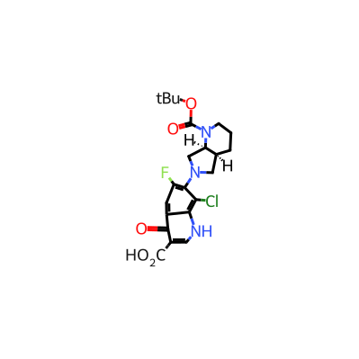 CC(C)(C)OC(=O)N1CCC[C@H]2CN(c3c(F)cc4c(=O)c(C(=O)O)c[nH]c4c3Cl)C[C@H]21